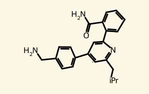 CC(C)Cc1[c]c(-c2ccc(CN)cc2)cc(-c2ccccc2C(N)=O)n1